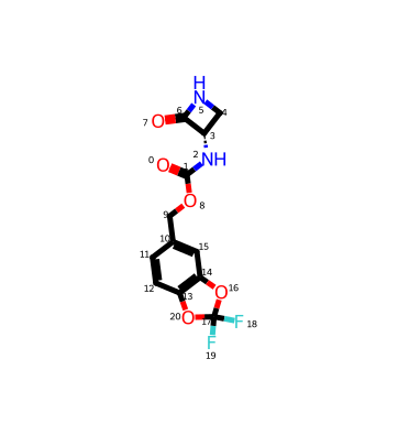 O=C(N[C@H]1CNC1=O)OCc1ccc2c(c1)OC(F)(F)O2